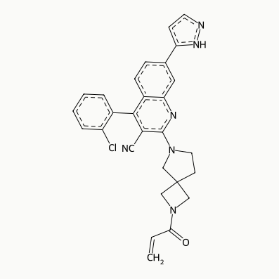 C=CC(=O)N1CC2(CCN(c3nc4cc(-c5ccn[nH]5)ccc4c(-c4ccccc4Cl)c3C#N)C2)C1